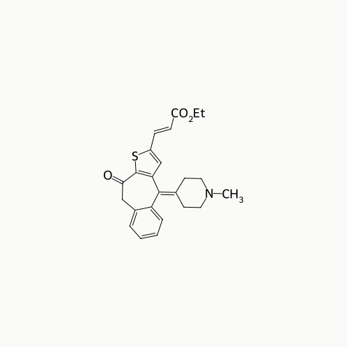 CCOC(=O)C=Cc1cc2c(s1)C(=O)Cc1ccccc1C2=C1CCN(C)CC1